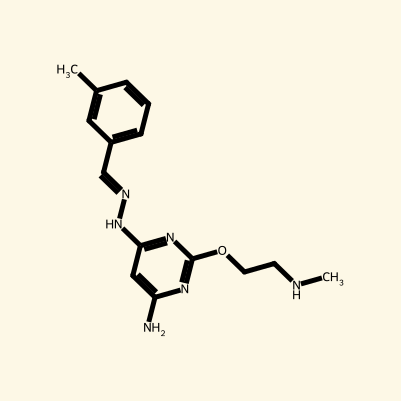 CNCCOc1nc(N)cc(N/N=C/c2cccc(C)c2)n1